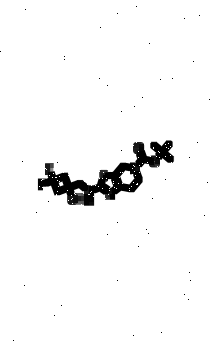 CC(C)(C)OC(=O)N1CCc2nc(NCC3(O)CC(F)(F)C3)sc2C1